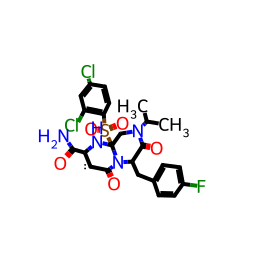 CC(C)N1CC2(S(=O)(=O)c3ccc(Cl)cc3Cl)NC(C(N)=O)[C]C(=O)N2C(Cc2ccc(F)cc2)C1=O